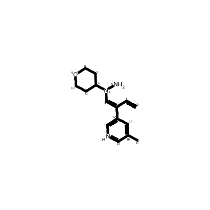 C=C/C(=C\N(N)C1CCOCC1)c1cncc(C)c1